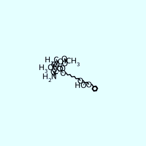 CC(=O)OC[C@H]1O[C@@H](OCCCCCCCOC[C@H](O)COCc2ccccc2)[C@H](CC(N)=O)[C@@H](OC(C)=O)[C@H]1OC(C)=O